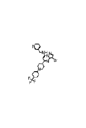 FC(F)(F)C1CCC(N2CCC(c3cc(NCc4cccnc4)n4ncc(Br)c4n3)CC2)CC1